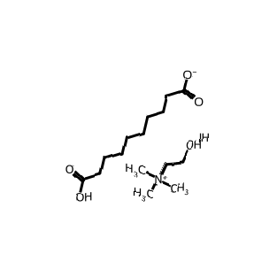 C[N+](C)(C)CCO.I.O=C([O-])CCCCCCCCC(=O)O